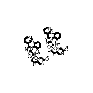 COc1cnc([C@@H](C)[C@H](C)S(=O)(=O)Nc2nnc(-c3cccnc3)n2-c2c(OC)cccc2OC)cn1.COc1cnc([C@H](C)[C@@H](C)S(=O)(=O)Nc2nnc(-c3cccnc3)n2-c2c(OC)cccc2OC)cn1